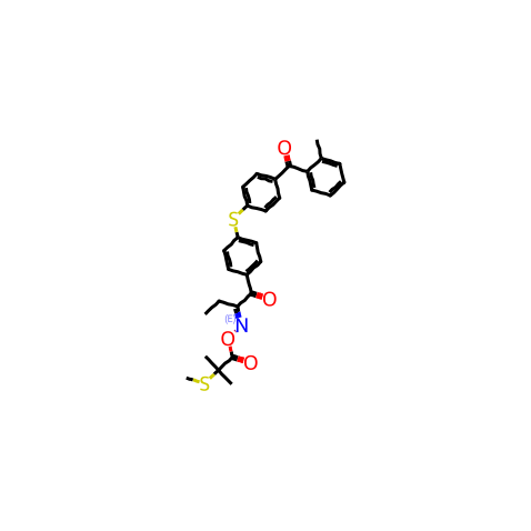 CC/C(=N\OC(=O)C(C)(C)SC)C(=O)c1ccc(Sc2ccc(C(=O)c3ccccc3C)cc2)cc1